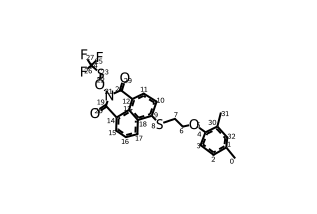 Cc1ccc(OCCSc2ccc3c4c(cccc24)C(=O)N(OSC(F)(F)F)C3=O)c(C)c1